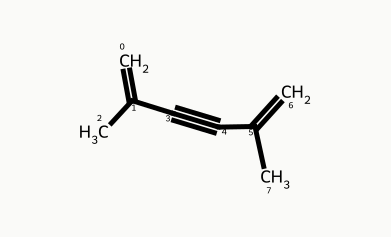 C=C(C)C#CC(=C)C